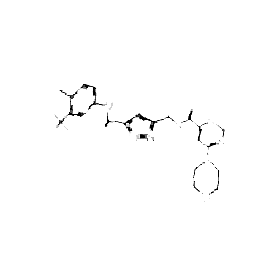 Cc1ccc(NC(=O)c2cc(CNC(=O)C3=CC(N4CCOCC4)=NCN3)no2)cc1C(F)(F)F